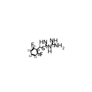 N=C(N)NC(=N)SCc1c(F)cccc1F